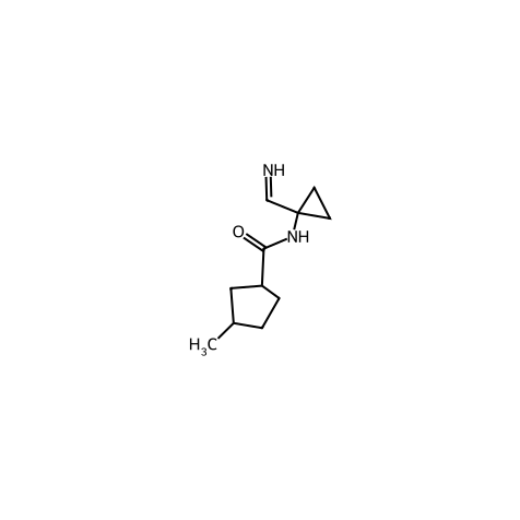 CC1CCC(C(=O)NC2(C=N)CC2)C1